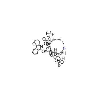 C[C@@H]1CC/C=C\[C@@H]2C[C@@]2(C(=O)NS(=O)(=O)C2(C)CC2)NC(=O)[C@@H]2C[C@@H](Oc3nc4c(c5ccccc35)OCCC4)CN2C(=O)[C@@H](N(C(=O)O)C(C)(C)C(C)(F)F)[C@H](C)C1